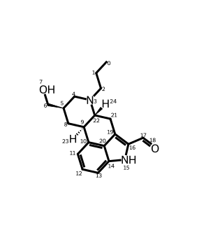 CCCN1C[C@H](CO)C[C@@H]2c3cccc4[nH]c(C=O)c(c34)C[C@H]21